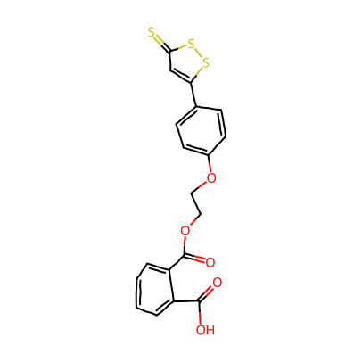 O=C(O)c1ccccc1C(=O)OCCOc1ccc(-c2cc(=S)ss2)cc1